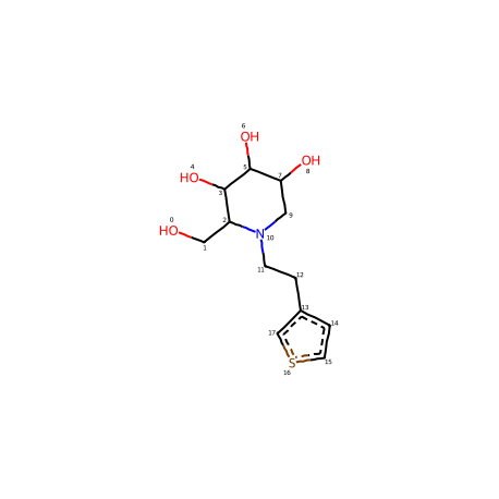 OCC1C(O)C(O)C(O)CN1CCc1ccsc1